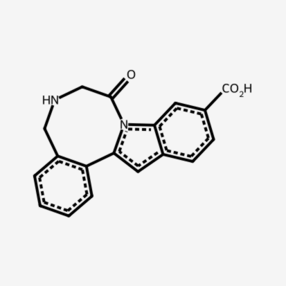 O=C(O)c1ccc2cc3n(c2c1)C(=O)CNCc1ccccc1-3